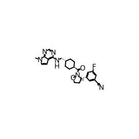 Cn1ccc2c(NC[C@H]3CC[C@H](C(=O)N4OCC[C@H]4c4cc(F)cc(C#N)c4)CC3)ncnc21